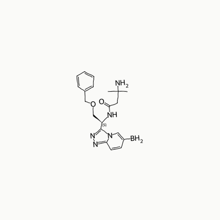 Bc1ccc2nnc([C@@H](COCc3ccccc3)NC(=O)CC(C)(C)N)n2c1